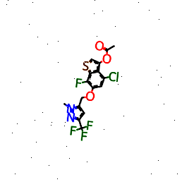 CC(=O)Oc1csc2c(F)c(OCc3cc(C(F)(F)F)nn3C)cc(Cl)c12